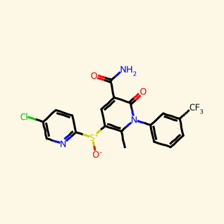 Cc1c([S+]([O-])c2ccc(Cl)cn2)cc(C(N)=O)c(=O)n1-c1cccc(C(F)(F)F)c1